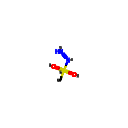 CS(=O)(=O)N=N